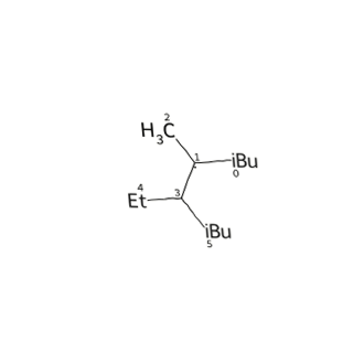 CCC(C)[C](C)C(CC)C(C)CC